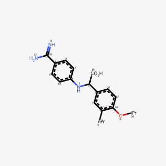 CCCc1cc(C(Nc2ccc(C(=N)N)cc2)C(=O)O)ccc1OC(C)C